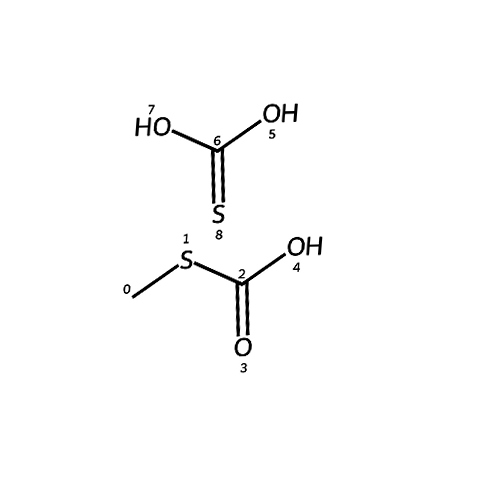 CSC(=O)O.OC(O)=S